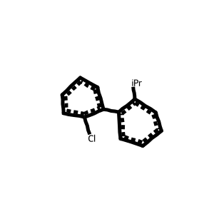 CC(C)c1ccccc1-c1ccccc1Cl